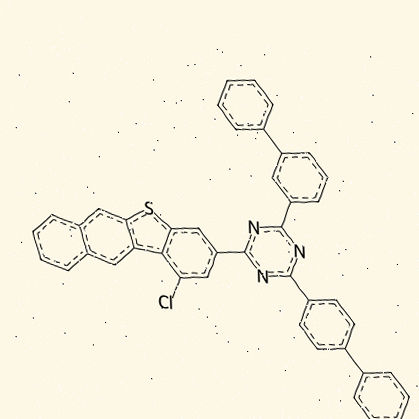 Clc1cc(-c2nc(-c3ccc(-c4ccccc4)cc3)nc(-c3cccc(-c4ccccc4)c3)n2)cc2sc3cc4ccccc4cc3c12